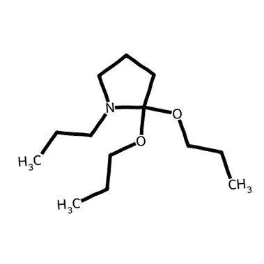 CCCOC1(OCCC)CCCN1CCC